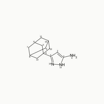 Nc1cc(C23CC4CC(CC(C4)C2)C3)n[nH]1